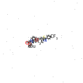 Cc1nc(-c2ccc(C(F)(F)F)cc2)sc1CCCOc1cccc2c1ccn2CC(=O)OC(C)(C)C